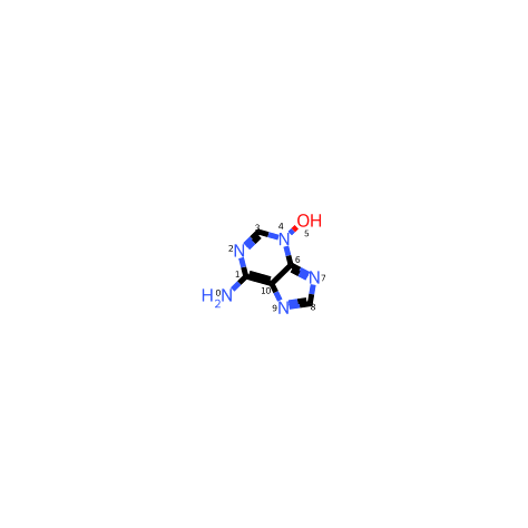 Nc1ncn(O)c2ncnc1-2